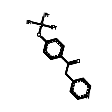 CC(C)[Si](Oc1ccc(C(=O)Cc2ccncc2)cc1)(C(C)C)C(C)C